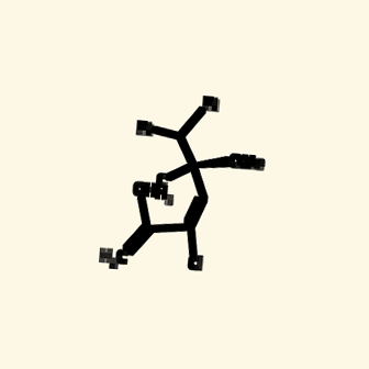 C=C(O)/C(Cl)=C\[C@@](C)(OC)C(CC)CC